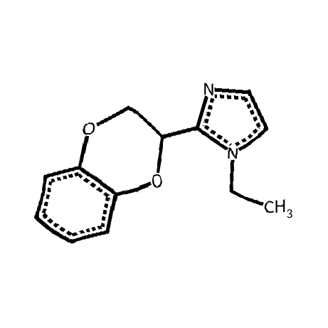 CCn1ccnc1C1COc2ccccc2O1